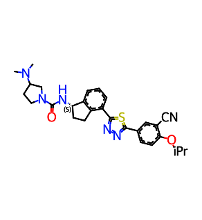 CC(C)Oc1ccc(-c2nnc(-c3cccc4c3CC[C@@H]4NC(=O)N3CCC(N(C)C)C3)s2)cc1C#N